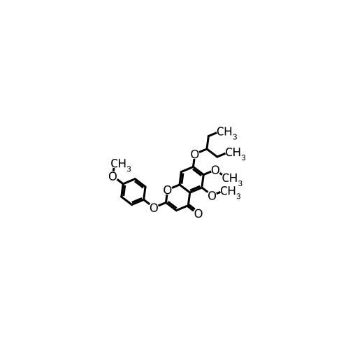 CCC(CC)Oc1cc2oc(Oc3ccc(OC)cc3)cc(=O)c2c(OC)c1OC